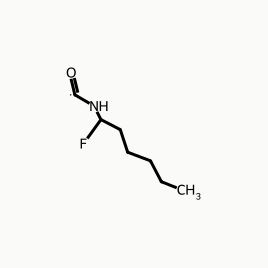 CCCCCC(F)N[C]=O